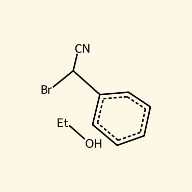 CCO.N#CC(Br)c1ccccc1